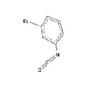 C[CH]c1cccc(N=C=O)c1